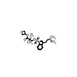 CN(C)CCc1cn(S(=O)(=O)OCC(C)(C)C(=O)OC2COC2)c2ccccc12